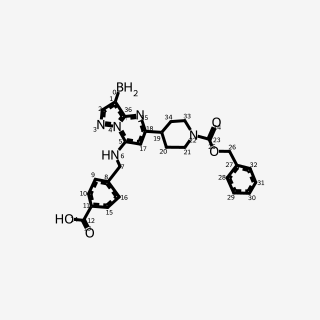 Bc1cnn2c(NCc3ccc(C(=O)O)cc3)cc(C3CCN(C(=O)OCc4ccccc4)CC3)nc12